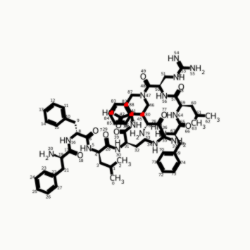 CC(C)C[C@@H](NC(=O)[C@@H](Cc1ccccc1)NC(=O)[C@H](N)Cc1ccccc1)C(=O)N[C@H](CCNC(=N)N)C(=O)NC1(C(=O)O)CCN(C(=O)[C@@H](CNC(=N)N)NC(=O)[C@@H](CC(C)C)NC(=O)[C@@H](Cc2ccccc2)NC(=O)[C@H](N)Cc2ccccc2)CC1